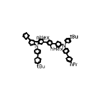 CCCCCCc1cc(-c2ccc3c4cc(-c5ccccc5)ccc4n(-c4ccc(-c5ccc(C(C)(C)C)cc5)cc4)c3c2)c(CCCCCC)cc1-c1ccc(N(c2ccc(-c3ccc(CCC)cc3)cc2)c2ccc(C(C)(C)C)cc2)cc1